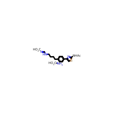 CC(=O)Nc1nc(-c2ccc(CCCCNC=NC(=O)O)cc2)cs1.NC(=O)O